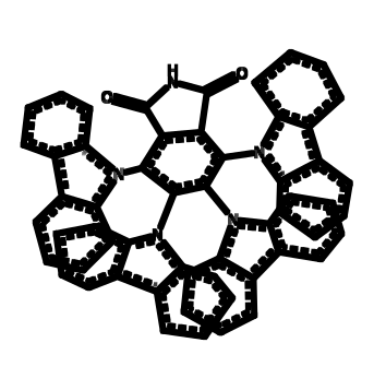 O=C1NC(=O)c2c1c(-n1c3ccccc3c3ccccc31)c(-n1c3ccccc3c3ccccc31)c(-n1c3ccccc3c3ccccc31)c2-n1c2ccccc2c2ccccc21